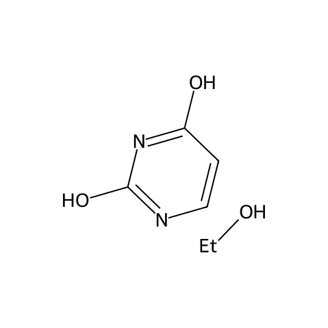 CCO.Oc1ccnc(O)n1